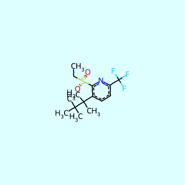 CCS(=O)(=O)c1nc(C(F)(F)F)ccc1C(C)(C)C(C)(C)C